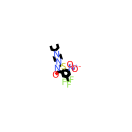 CCC(CC)N1CCN(c2nc(=O)c3cc(C(F)(F)F)cc([N+](=O)[O-])c3s2)CC1